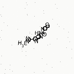 Cn1cc(-c2cnc3cnc(NC(=O)c4cc5ccoc5cn4)cc3c2)cn1